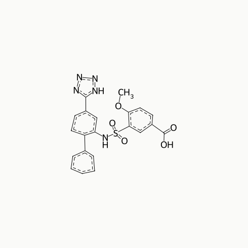 COc1ccc(C(=O)O)cc1S(=O)(=O)Nc1cc(-c2nnn[nH]2)ccc1-c1ccccc1